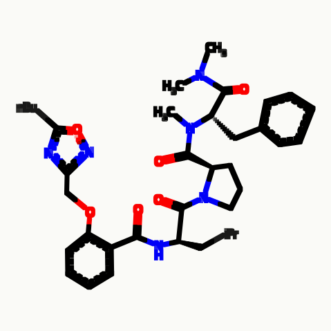 CCCCc1nc(COc2ccccc2C(=O)N[C@H](CC(C)C)C(=O)N2CCC[C@@H]2C(=O)N(C)[C@@H](Cc2ccccc2)C(=O)N(C)C)no1